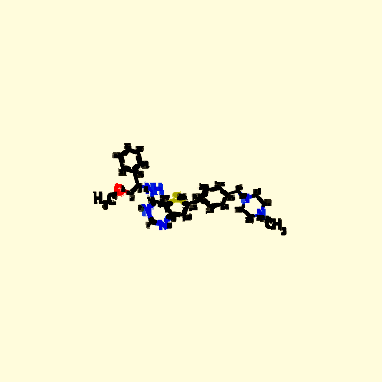 COCC(Nc1ncnc2cc(-c3ccc(CN4CCN(C)CC4)cc3)sc12)c1ccccc1